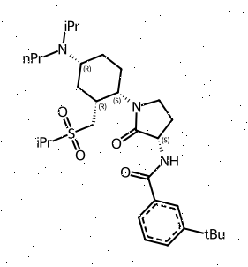 CCCN(C(C)C)[C@@H]1CC[C@H](N2CC[C@H](NC(=O)c3cccc(C(C)(C)C)c3)C2=O)[C@H](CS(=O)(=O)C(C)C)C1